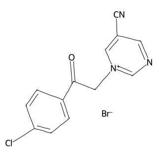 N#Cc1cnc[n+](CC(=O)c2ccc(Cl)cc2)c1.[Br-]